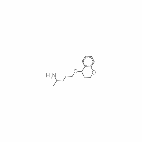 CC(N)CCCOC1CCOc2ccccc21